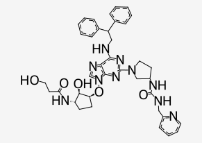 O=C(CCO)N[C@H]1CC[C@H](On2cnc3c(NCC(c4ccccc4)c4ccccc4)nc(N4CCC(NC(=O)NCc5ccccn5)C4)nc32)[C@@H]1O